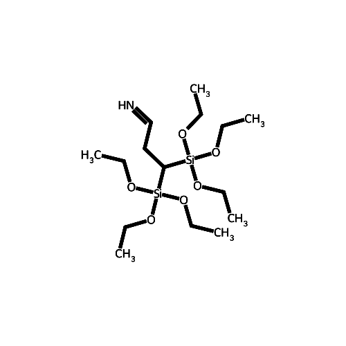 CCO[Si](OCC)(OCC)C(CC=N)[Si](OCC)(OCC)OCC